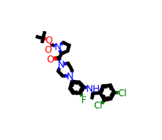 CC(Nc1cc(N2CCN(C(=O)C3CCCN3C(=O)OC(C)(C)C)CC2)ccc1F)c1ccc(Cl)cc1Cl